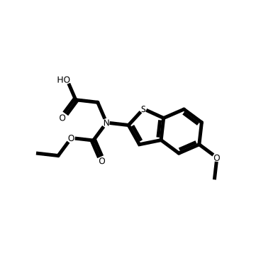 CCOC(=O)N(CC(=O)O)c1cc2cc(OC)ccc2s1